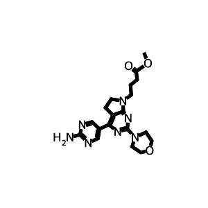 COC(=O)CCCN1CCc2c(-c3cnc(N)nc3)nc(N3CCOCC3)nc21